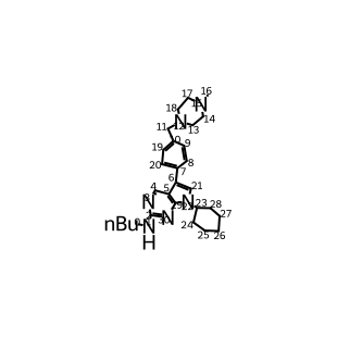 CCCCNc1ncc2c(-c3ccc(CN4CCN(C)CC4)cc3)cn(C3CCCCC3)c2n1